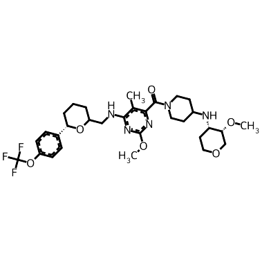 COc1nc(NCC2CCC[C@@H](c3ccc(OC(F)(F)F)cc3)O2)c(C)c(C(=O)N2CCC(N[C@H]3CCOC[C@H]3OC)CC2)n1